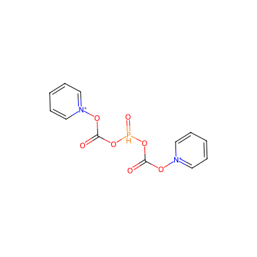 O=C(O[n+]1ccccc1)O[PH](=O)OC(=O)O[n+]1ccccc1